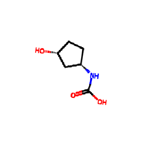 O=C(O)N[C@H]1CC[C@@H](O)C1